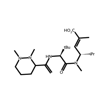 C=C(N[C@H](C(=O)N(C)[C@H](/C=C(\C)C(=O)O)C(C)C)C(C)(C)C)C1CCCN(C)N1C